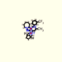 Cc1cc(N2C[C@H]3CC[C@@H](C2)C3Nc2nc3n(n2)CCCC[C@@H]3c2ccc(C(F)(F)F)cc2)ncn1